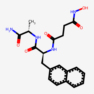 C[C@H](NC(=O)[C@H](Cc1ccc2ccccc2c1)NC(=O)CCC(=O)NO)C(N)=O